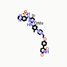 COc1cc(N2CCN(CCOc3ccc(C4CCC(=O)NC4=O)cc3)CC2)c(C)cc1Nc1ncc(Br)c(Nc2ccc3nccnc3c2P(C)(C)=O)n1